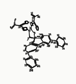 C=C(C)C(=O)OCCC1(CCOC(=O)C(=C)C)c2ccc(-c3ccccc3)cc2-c2cc(-c3ccccc3)ccc21